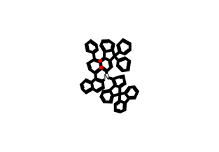 c1ccc(-c2ccc(-c3c(N(c4ccc5c(c4)C(c4ccccc4)(c4ccccc4)c4ccccc4-5)c4cccc5c4-c4ccccc4C54c5ccccc5-c5ccccc54)ccc4ccccc34)cc2)cc1